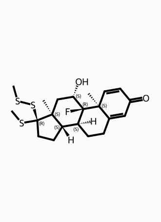 CSS[C@]1(SC)CC[C@H]2[C@@H]3CCC4=CC(=O)C=C[C@]4(C)[C@@]3(F)[C@@H](O)C[C@@]21C